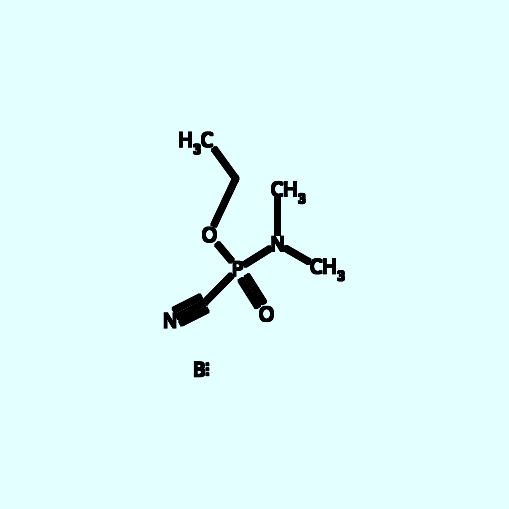 CCOP(=O)(C#N)N(C)C.[B]